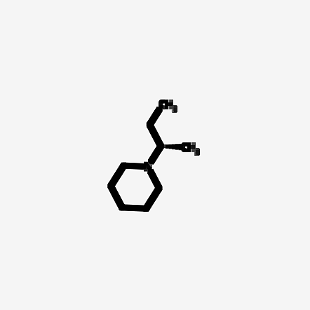 CC[C@H](C)N1CCCCC1